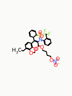 CCc1ccc(C2=C(C(=O)OCCCCO[N+](=O)[O-])N(c3ccccc3C(F)(F)F)S(=O)(=O)C3C=CC=CC23)c2c1OCO2